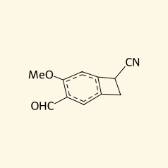 COc1cc2c(cc1C=O)CC2C#N